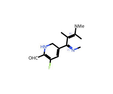 C/N=C(C1=CC(F)=C(C=O)NC1)\C(C)=C(/C)NC